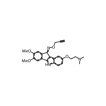 C#CCON=C1c2cc(OC)c(OC)cc2-c2[nH]c3ccc(OCCN(C)C)cc3c21